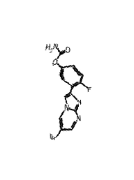 NC(=O)Oc1ccc(F)c(-c2cn3cc(Br)cnc3n2)c1